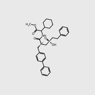 COC(=O)C(NC(=O)[C@H](Cc1ccc(-c2ccccc2)cc1)CP(=O)(O)CCc1ccccc1)C1CCCCC1